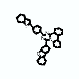 c1ccc(-c2ccccc2-c2nc(-c3ccc(-c4cc5ccccc5s4)cc3)nc(-c3ccc4c(c3)oc3ccccc34)n2)cc1